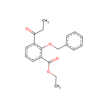 CCOC(=O)c1cccc(C(=O)CC)c1OCc1ccccc1